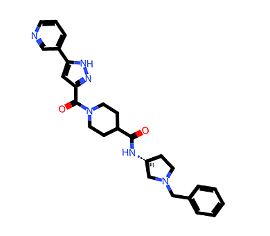 O=C(N[C@@H]1CCN(Cc2ccccc2)C1)C1CCN(C(=O)c2cc(-c3cccnc3)[nH]n2)CC1